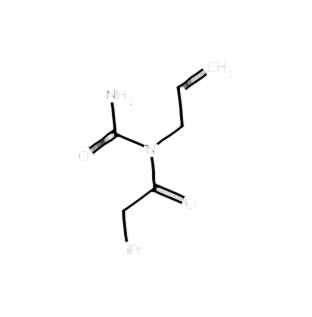 C=CCN(C(N)=O)C(=O)CC(C)C